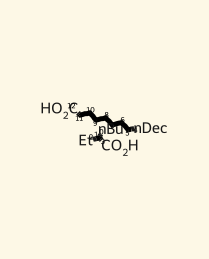 CCCCC(CC)C(=O)O.CCCCCCCCCCCCCCCCCC(=O)O